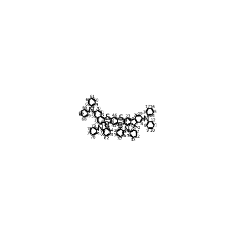 CC1(C)c2cc(N(c3ccccc3)c3ccccc3)ccc2-c2cc3c4c(c21)N(c1ccccc1)c1ccccc1B4c1cc2c(cc1S3)Sc1c3c(cc4cc(N(c5ccccc5)c5ccccc5)ccc14)N(c1ccccc1)c1ccccc1B23